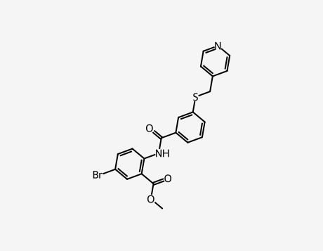 COC(=O)c1cc(Br)ccc1NC(=O)c1cccc(SCc2ccncc2)c1